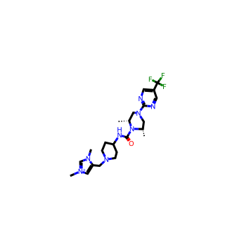 C[C@@H]1CN(c2ncc(C(F)(F)F)cn2)C[C@H](C)N1C(=O)NC1CCN(Cc2c[n+](C)cn2C)CC1